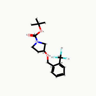 CC(C)(C)OC(=O)N1CCC(OCc2ccccc2C(F)(F)F)C1